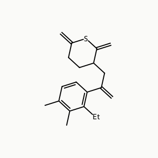 C=C1CCC(CC(=C)c2ccc(C)c(C)c2CC)C(=C)S1